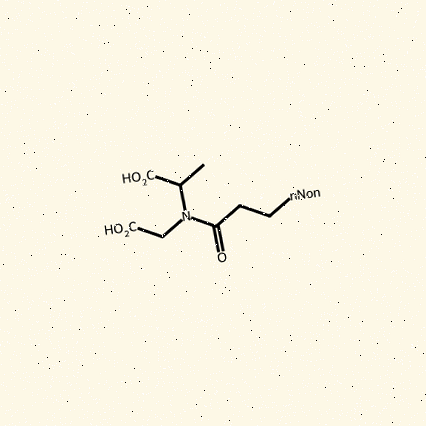 CCCCCCCCCCCC(=O)N(CC(=O)O)C(C)C(=O)O